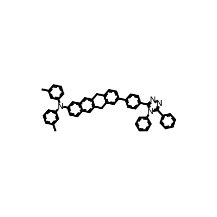 Cc1cccc(N(c2cccc(C)c2)c2ccc3cc4c(cc3c2)Cc2ccc(-c3ccc(-c5nnc(-c6ccccc6)n5-c5ccccc5)cc3)cc2C4)c1